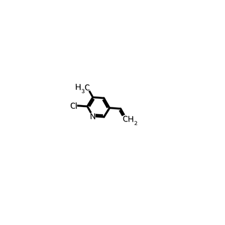 C=Cc1cnc(Cl)c(C)c1